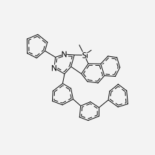 C[Si]1(C)c2nc(-c3ccccc3)nc(-c3cccc(-c4cccc(-c5ccccc5)c4)c3)c2-c2ccc3ccccc3c21